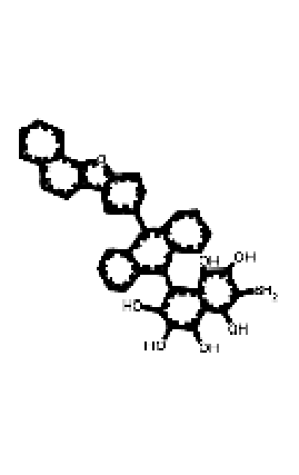 Bc1c(O)c(O)c2c(-c3c4ccccc4c(-c4ccc5oc6c7ccccc7ccc6c5c4)c4ccccc34)c(O)c(O)c(O)c2c1O